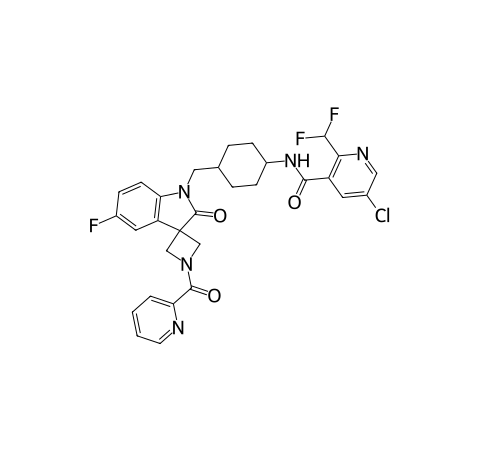 O=C(NC1CCC(CN2C(=O)C3(CN(C(=O)c4ccccn4)C3)c3cc(F)ccc32)CC1)c1cc(Cl)cnc1C(F)F